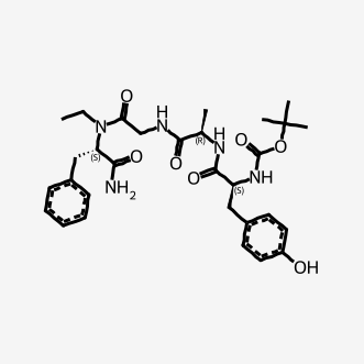 CCN(C(=O)CNC(=O)[C@@H](C)NC(=O)[C@H](Cc1ccc(O)cc1)NC(=O)OC(C)(C)C)[C@@H](Cc1ccccc1)C(N)=O